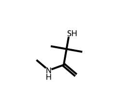 C=C(NC)C(C)(C)S